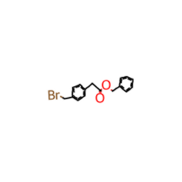 O=C(Cc1ccc(CBr)cc1)OCc1ccccc1